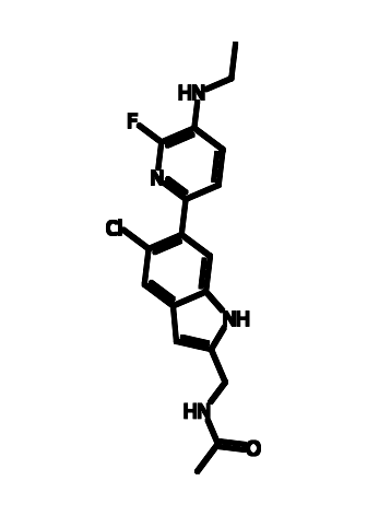 CCNc1ccc(-c2cc3[nH]c(CNC(C)=O)cc3cc2Cl)nc1F